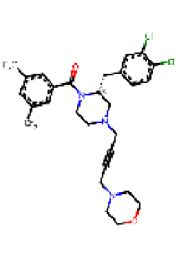 O=C(c1cc(C(F)(F)F)cc(C(F)(F)F)c1)N1CCN(CC#CCN2CCOCC2)C[C@H]1Cc1ccc(Cl)c(Cl)c1